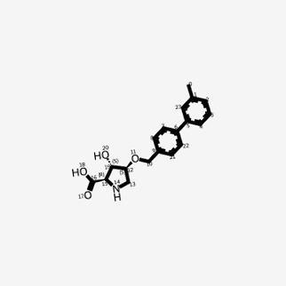 Cc1cccc(-c2ccc(CO[C@H]3CN[C@@H](C(=O)O)[C@@H]3O)cc2)c1